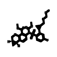 COCOCC1CC1c1cc(F)ccc1S(=O)(=O)N(C(=O)OC)c1ccc2c(c1C(=O)OC)OC[C@@H]1C[C@H]21